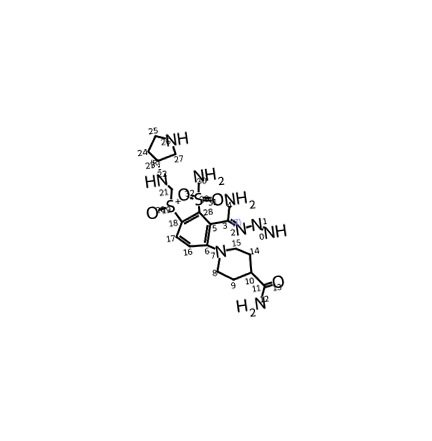 N=N/N=C(\N)c1c(N2CCC(C(N)=O)CC2)ccc([S+]([O-])CN[C@@H]2CCNC2)c1S(N)(=O)=O